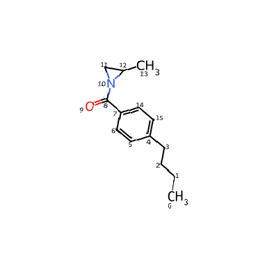 CCCCc1ccc(C(=O)N2CC2C)cc1